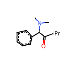 CC(C)C(=O)[C@@H](c1ccccc1)N(C)C